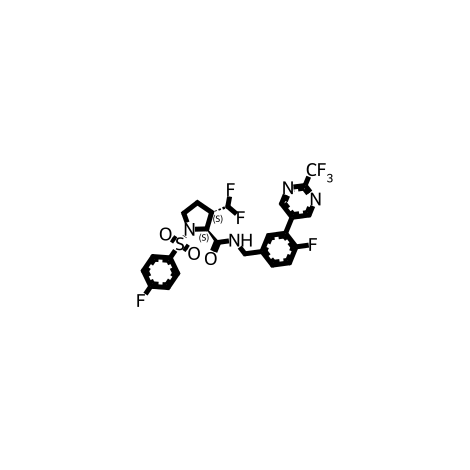 O=C(NCc1ccc(F)c(-c2cnc(C(F)(F)F)nc2)c1)[C@@H]1[C@@H](C(F)F)CCN1S(=O)(=O)c1ccc(F)cc1